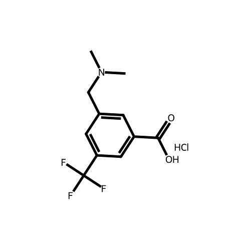 CN(C)Cc1cc(C(=O)O)cc(C(F)(F)F)c1.Cl